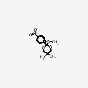 CNC1(c2ccc([N+](=O)[O-])cc2)OCC(C)(C)CO1